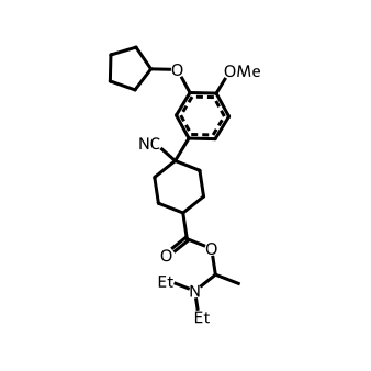 CCN(CC)C(C)OC(=O)C1CCC(C#N)(c2ccc(OC)c(OC3CCCC3)c2)CC1